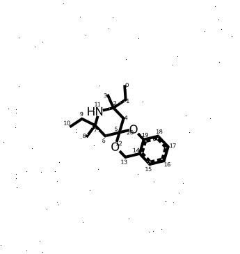 CCC1(C)CC2(CC(C)(CC)N1)OCc1ccccc1O2